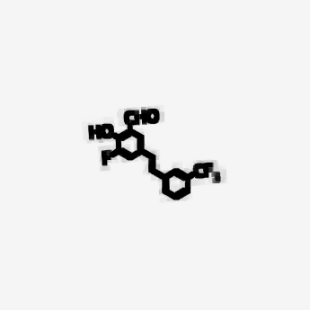 O=Cc1cc(C=Cc2cccc(C(F)(F)F)c2)cc(F)c1O